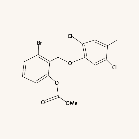 COC(=O)Oc1cccc(Br)c1COc1cc(Cl)c(C)cc1Cl